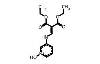 CCOC(=O)C(=CNc1ccc[n+](O)c1)C(=O)OCC